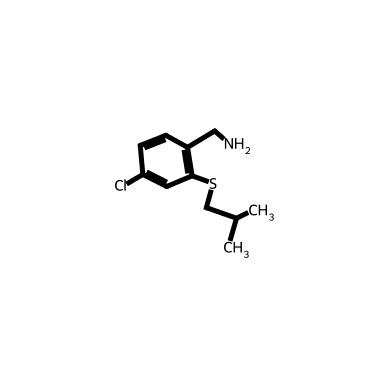 CC(C)CSc1cc(Cl)ccc1CN